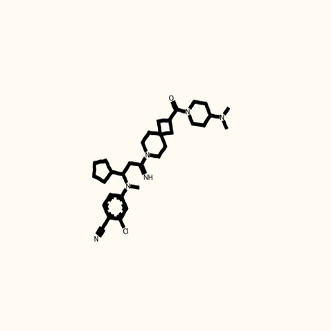 CN(C)C1CCN(C(=O)C2CC3(CCN(C(=N)CC(C4CCCC4)N(C)c4ccc(C#N)c(Cl)c4)CC3)C2)CC1